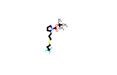 CC(C)(C)OC(=O)N1CCC[C@@H]1CCCSCCC(F)(F)F